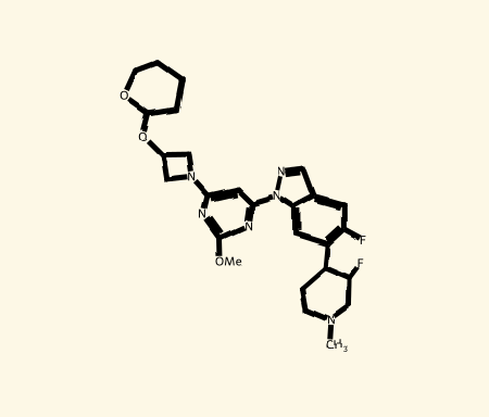 COc1nc(N2CC(OC3CCCCO3)C2)cc(-n2ncc3cc(F)c(C4CCN(C)CC4F)cc32)n1